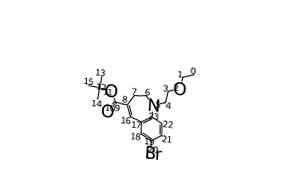 CCOCCN1CCC(C(=O)OC(C)(C)C)=Cc2cc(Br)ccc21